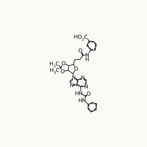 CC1(C)OC2C(CCC(=O)Nc3cccc(C(=O)O)c3)OC(n3cnc4c(NC(=O)Nc5ccccc5)ncnc43)C2O1